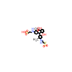 CC1=C/C(=C(/c2cc(C)c(NCCC[SH](=O)=O)cc2O)c2ccccc2C(=O)O)CC=C1NCCCS(=O)(=O)O